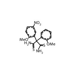 COc1ccccc1C(C(N)=S)(C(N)=S)c1cc([N+](=O)[O-])ccc1OC